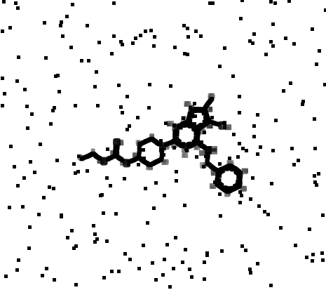 CCOC(=O)OC1CCN(c2nc(NCc3ccccc3)c3c(Cl)c(C)sc3n2)CC1